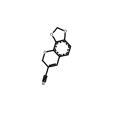 N#CC1=Cc2ccc3c(c2OC1)OCO3